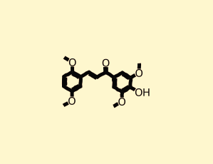 COc1ccc(OC)c(C=CC(=O)c2cc(OC)c(O)c(OC)c2)c1